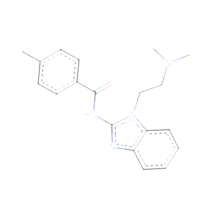 Cc1ccc(C(=O)Nc2nc3ccccc3n2CCN(C)C)cc1